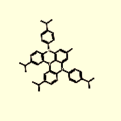 Cc1cc2c3c(c1)N(c1ccc(C(C)C)cc1)c1ccc(C(C)C)cc1B3c1cc(C(C)C)ccc1N2c1ccc(C(C)C)cc1